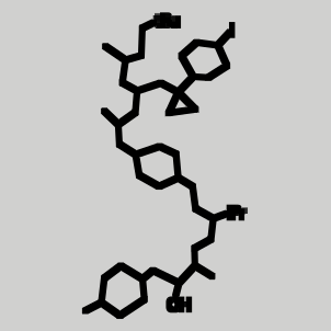 CC1CCC(CC(O)C(C)CCC(CCC2CCC(CC(C)CC(CC(C)CCC(C)(C)C)CC3(C4CCC(I)CC4)CC3)CC2)C(C)C)CC1